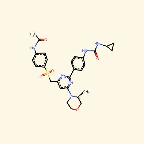 CC(=O)Nc1ccc(S(=O)(=O)Cc2cc(N3CCOC[C@@H]3C)nc(-c3ccc(NC(=O)NC4CC4)cc3)n2)cc1